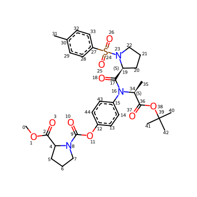 COC(=O)C1CCCN1C(=O)Oc1ccc(N(C(=O)[C@@H]2CCCN2S(=O)(=O)c2ccc(C)cc2)[C@@H](C)C(=O)OC(C)(C)C)cc1